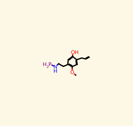 C=CCc1cc(OC)c(CCNP)cc1O